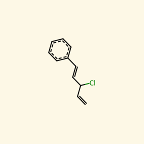 C=CC(Cl)C=Cc1ccccc1